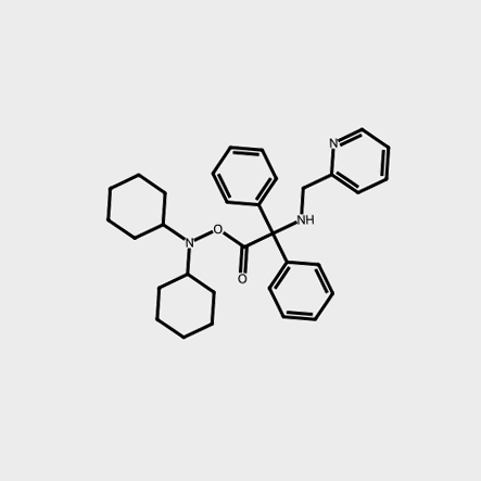 O=C(ON(C1CCCCC1)C1CCCCC1)C(NCc1ccccn1)(c1ccccc1)c1ccccc1